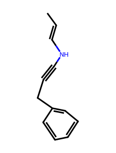 CC=CNC#CCc1ccccc1